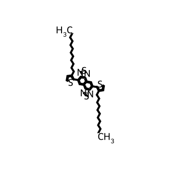 CCCCCCCCCCCCc1ccsc1-c1cc2c(cc(-c3sccc3CCCCCCCCCCCC)c3nsnc32)c2nsnc12